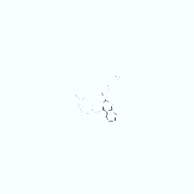 CN(C)CCCNc1nc(NC2CCCN(C(=O)O)CC2)c2ccccc2n1